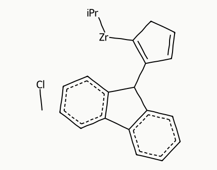 CCl.C[CH](C)[Zr][C]1=C(C2c3ccccc3-c3ccccc32)C=CC1